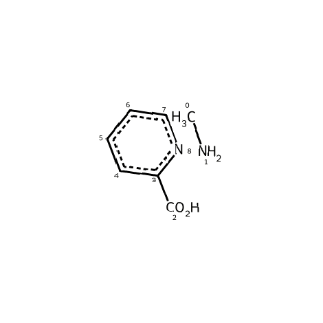 CN.O=C(O)c1ccccn1